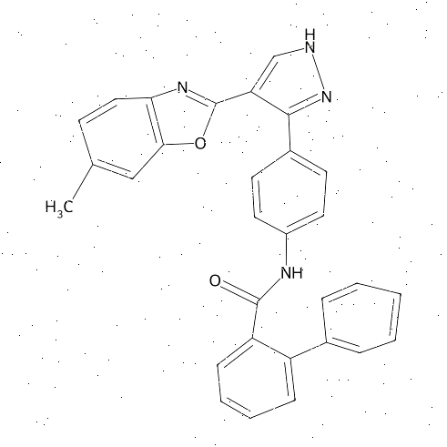 Cc1ccc2nc(-c3c[nH]nc3-c3ccc(NC(=O)c4ccccc4-c4ccccc4)cc3)oc2c1